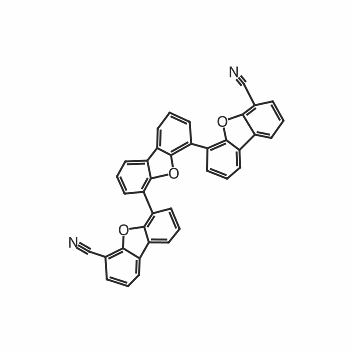 N#Cc1cccc2c1oc1c(-c3cccc4c3oc3c(-c5cccc6c5oc5c(C#N)cccc56)cccc34)cccc12